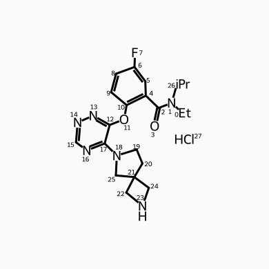 CCN(C(=O)c1cc(F)ccc1Oc1nncnc1N1CCC2(CNC2)C1)C(C)C.Cl